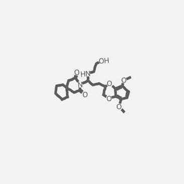 COc1ccc(OC)c2c1OCC(CCC(NCCO)N1C(=O)CC3(CCCCC3)CC1=O)O2